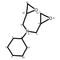 C1CCC(N(CC2CO2)CC2CO2)CC1